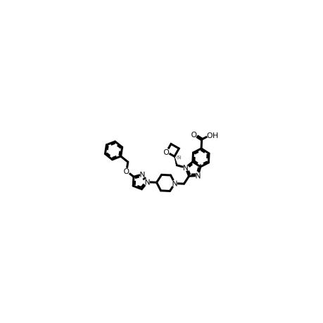 O=C(O)c1ccc2nc(CN3CCC(n4ccc(OCc5ccccc5)n4)CC3)n(C[C@@H]3CCO3)c2c1